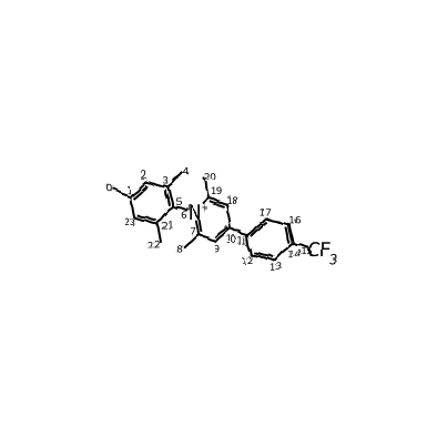 Cc1cc(C)c(-[n+]2c(C)cc(-c3ccc(C(F)(F)F)cc3)cc2C)c(C)c1